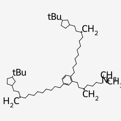 C=C(CCCCN(C)C)CCc1cc(CCCCCCCCCC(=C)CCC2CCC(C(C)(C)C)C2)ccc1CCCCCCCCCC(=C)CCC1CCC(C(C)(C)C)C1